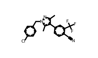 Cc1nn(Cc2ccc(Cl)cc2)c(C)c1-c1ccc(C#N)c(C(F)(F)F)c1